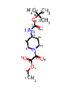 CCOC(=O)C(=O)N1CCC(NC(=O)OC(C)(C)C)CC1